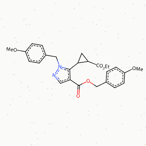 CCOC(=O)C1CC1c1c(C(=O)OCc2ccc(OC)cc2)cnn1Cc1ccc(OC)cc1